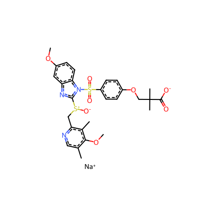 COc1ccc2c(c1)nc([S+]([O-])Cc1ncc(C)c(OC)c1C)n2S(=O)(=O)c1ccc(OCC(C)(C)C(=O)[O-])cc1.[Na+]